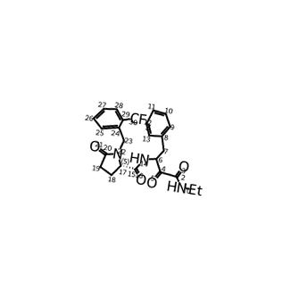 CCNC(=O)C(=O)C(Cc1ccccc1)NC(=O)[C@@H]1CCC(=O)N1Cc1ccccc1C(F)(F)F